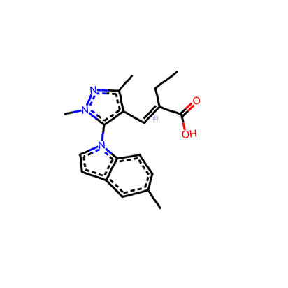 CC/C(=C\c1c(C)nn(C)c1-n1ccc2cc(C)ccc21)C(=O)O